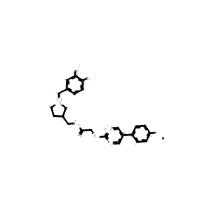 COc1ccc(-c2cnc(SCC(=O)NCC3CCN(Cc4ccc(Cl)c(Cl)c4)C3)nc2)cc1